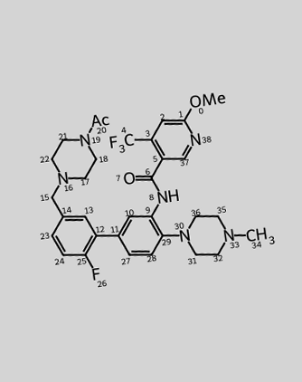 COc1cc(C(F)(F)F)c(C(=O)Nc2cc(-c3cc(CN4CCN(C(C)=O)CC4)ccc3F)ccc2N2CCN(C)CC2)cn1